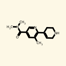 Cc1cc(C(=O)N(C)C)cnc1C1=CCNCC1